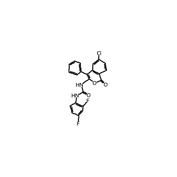 O=C(Nc1ccc(F)cc1F)Nc1oc(=O)c2ccc(Cl)cc2c1-c1ccccc1